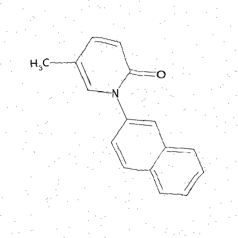 Cc1ccc(=O)n(-c2ccc3ccccc3c2)c1